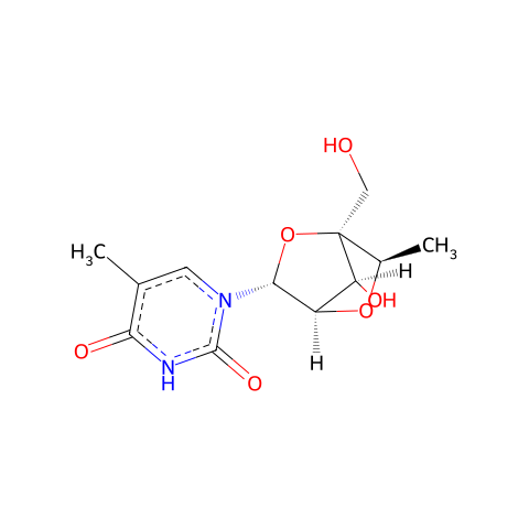 Cc1cn([C@@H]2O[C@@]3(CO)[C@@H](C)O[C@@H]2[C@@H]3O)c(=O)[nH]c1=O